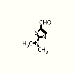 CN(C)c1ncc(C=O)s1